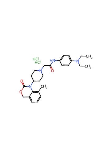 CCN(CC)c1ccc(NC(=O)CN2CCC(N3C(=O)OCc4cccc(C)c43)CC2)cc1.Cl.Cl